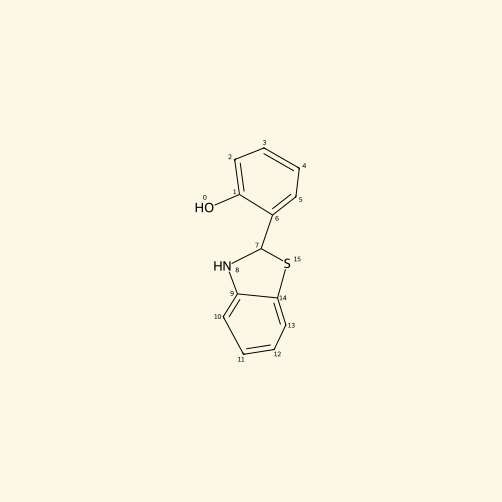 Oc1ccccc1C1Nc2ccccc2S1